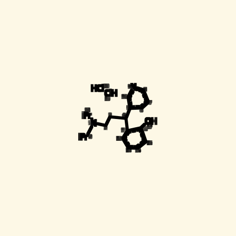 CC(C)N(CCC(c1cccnc1)c1ccccc1O)C(C)C.Cl.Cl